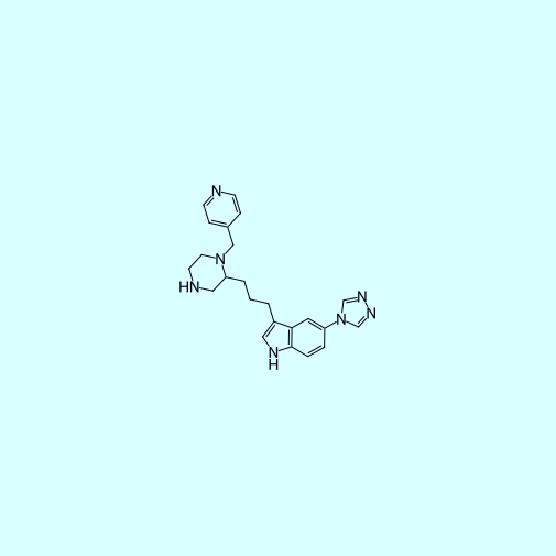 c1cc(CN2CCNCC2CCCc2c[nH]c3ccc(-n4cnnc4)cc23)ccn1